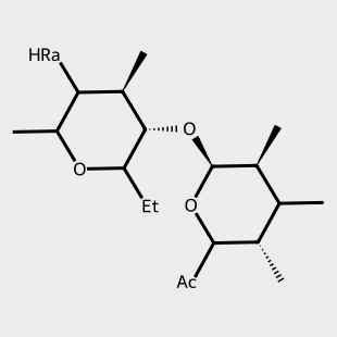 CCC1OC(C)[CH]([RaH])[C@@H](C)[C@@H]1O[C@@H]1OC(C(C)=O)[C@@H](C)C(C)[C@@H]1C